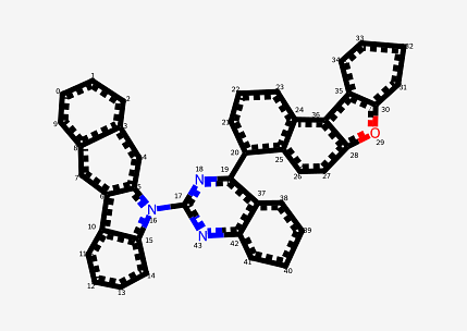 c1ccc2cc3c(cc2c1)c1ccccc1n3-c1nc(-c2cccc3c2ccc2oc4ccccc4c23)c2ccccc2n1